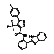 Cc1ccc(-n2ncc(C(=O)Nc3ccccc3-c3nc4ccccc4[nH]3)c2C(F)(F)F)cc1